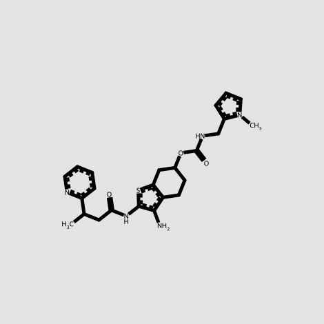 CC(CC(=O)Nc1sc2c(c1N)CCC(OC(=O)NCc1cccn1C)C2)c1ccccn1